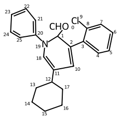 O=CC1C(c2ccccc2Cl)=CC(C2CCCCC2)=CN1c1ccccc1